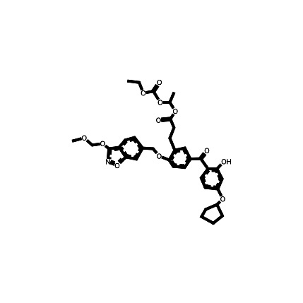 CCOC(=O)OC(C)OC(=O)CCc1cc(C(=O)c2ccc(OC3CCCC3)cc2O)ccc1OCc1ccc2c(OCOC)noc2c1